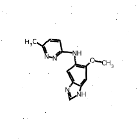 COc1cc2[nH]cnc2cc1Nc1ccc(C)nn1